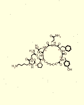 NCCCC[C@H](NC(=O)[C@H]1CCCN1C(=O)[C@@H]1CSSCCC(=O)N[C@@H](Cc2ccc(O)cc2)C(=O)N[C@H](Cc2ccccc2)C(=O)N[C@@H](CCC(N)=O)C(=O)N[C@@H](CC(N)=O)C(=O)N1)C(=O)NCC(N)=O